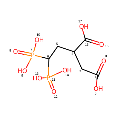 O=C(O)CC(CC(P(=O)(O)O)P(=O)(O)O)C(=O)O